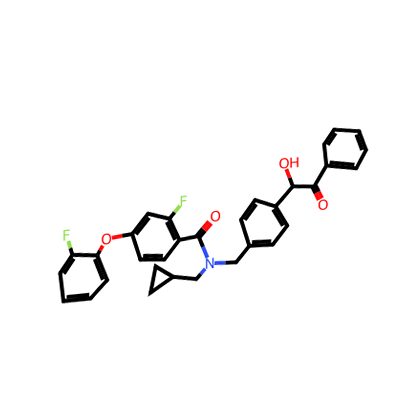 O=C(c1ccccc1)C(O)c1ccc(CN(CC2CC2)C(=O)c2ccc(Oc3ccccc3F)cc2F)cc1